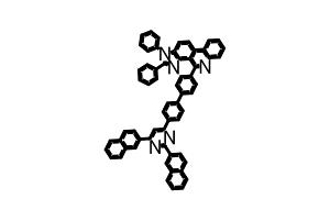 c1ccc(-c2nc3c4c(-c5ccc(-c6ccc(-c7cc(-c8ccc9ccccc9c8)nc(-c8ccc9ccccc9c8)n7)cc6)cc5)nc5ccccc5c4ccc3n2-c2ccccc2)cc1